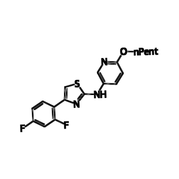 CCCCCOc1ccc(Nc2nc(-c3ccc(F)cc3F)cs2)cn1